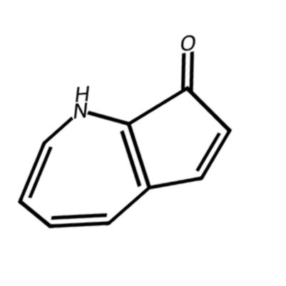 O=c1ccc2cccc[nH]c1=2